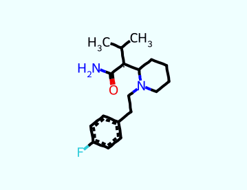 CC(C)[C](C(N)=O)C1CCCCN1CCc1ccc(F)cc1